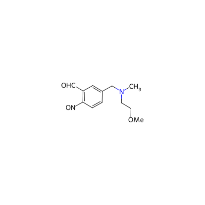 COCCN(C)Cc1ccc(N=O)c(C=O)c1